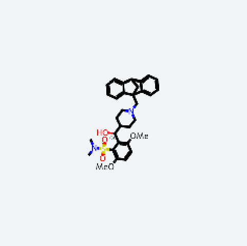 COc1ccc(OC)c(S(=O)(=O)N(C)C)c1[C@@H](O)C1CCN(CC23CC(c4ccccc42)c2ccccc23)CC1